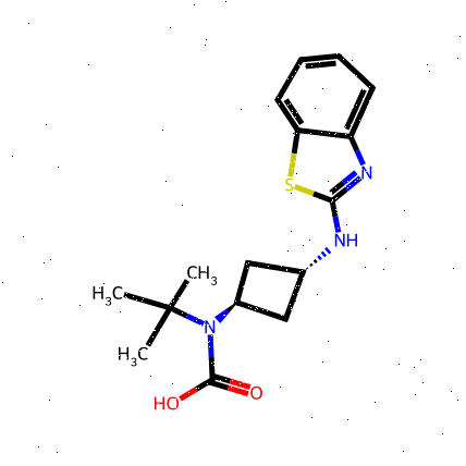 CC(C)(C)N(C(=O)O)[C@H]1C[C@H](Nc2nc3ccccc3s2)C1